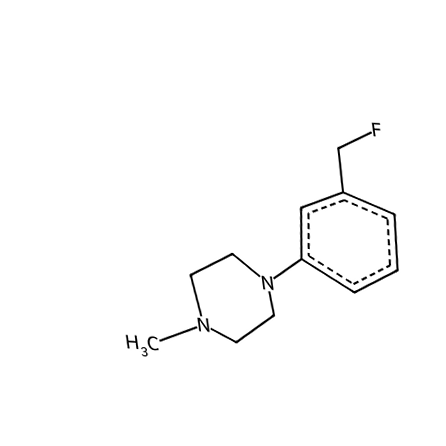 CN1CCN(c2cccc(CF)c2)CC1